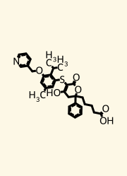 Cc1cc(OCc2cccnc2)c(C(C)C)c(SC2=C(O)CC(CCCCC(=O)O)(c3ccccc3)OC2=O)c1